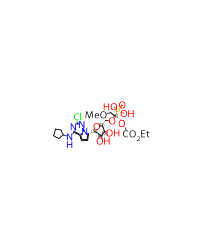 CCOC(=O)COC[C@@](COC)(OC[C@H]1O[C@@H](c2ccc3c(NC4CCCC4)nc(Cl)nn23)[C@H](O)[C@@H]1O)P(=O)(O)O